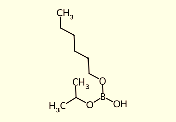 CCCCCCOB(O)OC(C)C